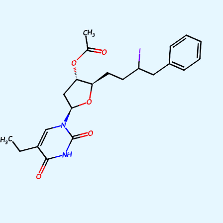 CCc1cn([C@H]2C[C@H](OC(C)=O)[C@@H](CCC(I)Cc3ccccc3)O2)c(=O)[nH]c1=O